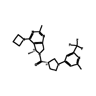 Cc1cc(N2CC[C@H](C(=O)N3Cc4nc(C)nc(N5CCC5)c4[C@H]3C)C2)cc(C(F)(F)F)n1